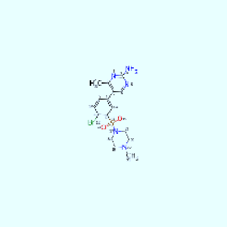 Cc1nc(N)ncc1-c1ccc(Br)c(S(=O)(=O)N2CCN(C)CC2)c1